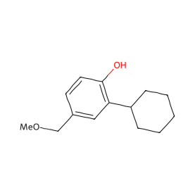 COCc1ccc(O)c(C2CCCCC2)c1